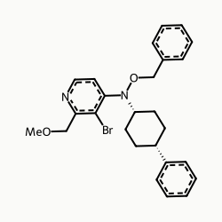 COCc1nccc(N(OCc2ccccc2)[C@H]2CC[C@@H](c3ccccc3)CC2)c1Br